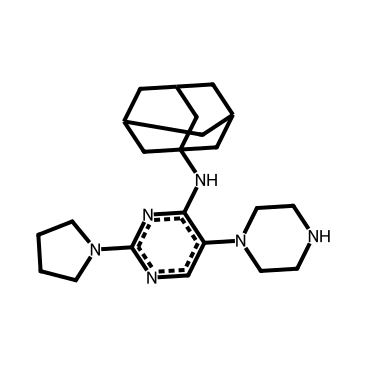 c1nc(N2CCCC2)nc(NC23CC4CC(CC(C4)C2)C3)c1N1CCNCC1